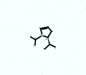 CC(C)[C@@H]1CC=CN1C(C)C